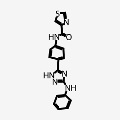 O=C(Nc1ccc(-c2nc(Nc3ccccc3)n[nH]2)cc1)c1cscn1